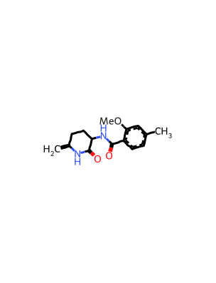 C=C1CCC(NC(=O)c2ccc(C)cc2OC)C(=O)N1